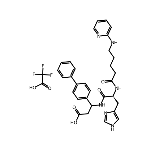 O=C(O)C(F)(F)F.O=C(O)CC(NC(=O)[C@H](Cc1c[nH]cn1)NC(=O)CCCCNc1ccccn1)c1ccc(-c2ccccc2)cc1